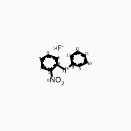 O=[N+]([O-])c1ccccc1[I+]c1ccccc1.[F-]